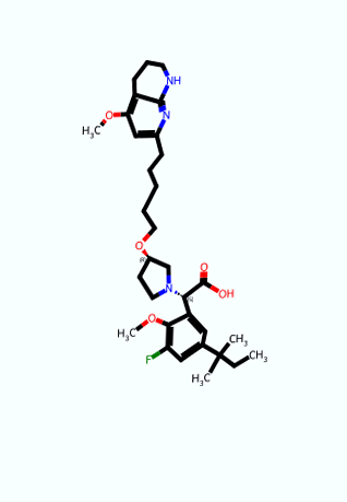 CCC(C)(C)c1cc(F)c(OC)c([C@@H](C(=O)O)N2CC[C@@H](OCCCCCc3cc(OC)c4c(n3)NCCC4)C2)c1